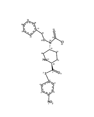 O=C(Sc1ccc([N+](=O)[O-])cc1)[C@@H]1CC[C@@H](N(OCc2ccccc2)C(=O)Cl)CN1